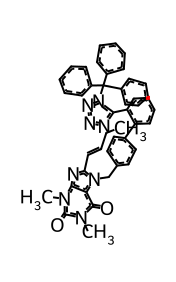 CCC=Cc1nc2c(c(=O)n(C)c(=O)n2C)n1Cc1ccc(-c2ccccc2-c2nnnn2C(c2ccccc2)(c2ccccc2)c2ccccc2)cc1